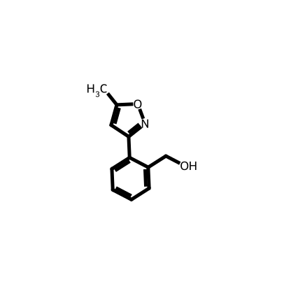 Cc1cc(-c2ccccc2CO)no1